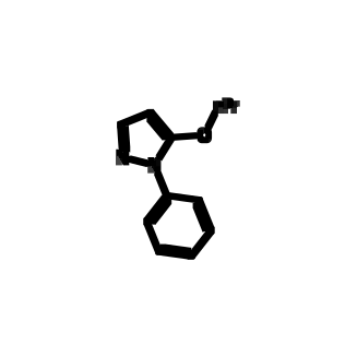 CCCOc1ccnn1-c1ccccc1